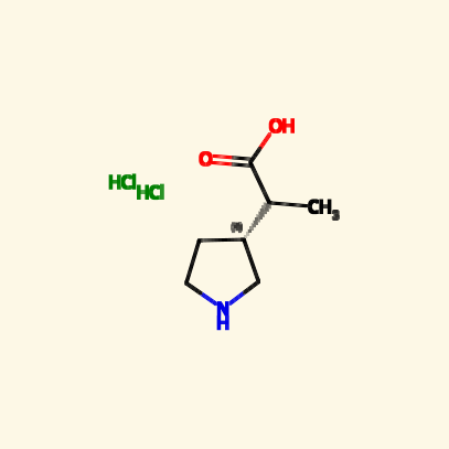 CC(C(=O)O)[C@H]1CCNC1.Cl.Cl